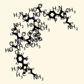 C[n+]1c(N)c(-c2ccc(OC[C@H](O/N=C(\C(=O)N[C@@H]3C(=O)N(OS(=O)(=O)ON4C(=O)[C@@H](NC(=O)/C(=N\O[C@@H](COc5ccc(-c6cn(CCCN)[n+](C)c6N)c(F)c5)C(=O)O)c5csc(N)n5)C4(C)C)C3(C)C)c3csc(N)n3)C(=O)O)cc2F)cn1CCCN